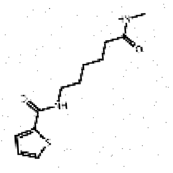 CNC(=O)CCCCCNC(=O)c1cccs1